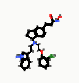 O=C(C=Cc1ccc2c(c1)CCC2N(CCOc1ccccc1Cl)CCc1c[nH]c2ccccc12)NO